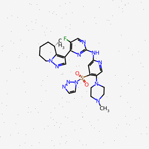 C[C@H]1CCCCn2ncc(-c3nc(Nc4cc(S(=O)(=O)n5ccnn5)c(N5CCN(C)CC5)cn4)ncc3F)c21